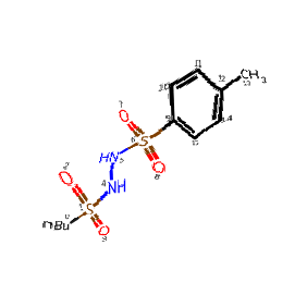 CCCCS(=O)(=O)NNS(=O)(=O)c1ccc(C)cc1